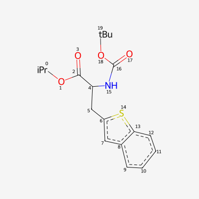 CC(C)OC(=O)C(Cc1cc2ccccc2s1)NC(=O)OC(C)(C)C